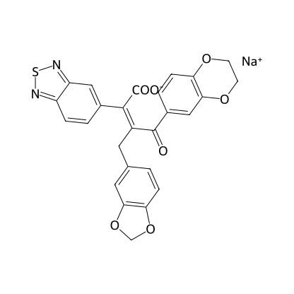 O=C([O-])C(=C(Cc1ccc2c(c1)OCO2)C(=O)c1ccc2c(c1)OCCO2)c1ccc2nsnc2c1.[Na+]